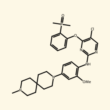 COc1cc(N2CCC3(CCN(C)CC3)CC2)ccc1Nc1ncc(Cl)c(Oc2ccccc2P(C)(C)=O)n1